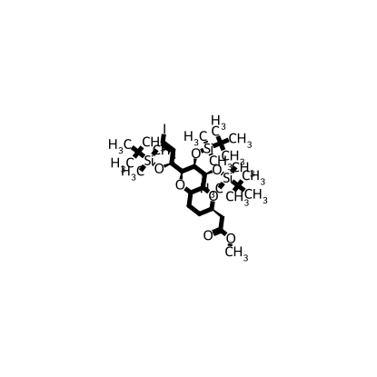 COC(=O)C[C@H]1CCC2O[C@@H]([C@H](/C=C/I)O[Si](C)(C)C(C)(C)C)[C@@H](O[Si](C)(C)C(C)(C)C)[C@@H](O[Si](C)(C)C(C)(C)C)C2O1